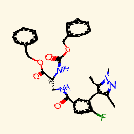 Cc1nn(C)c(C)c1-c1cc(C(=O)NC[C@@H](NC(=O)OCc2ccccc2)C(=O)OCc2ccccc2)ccc1F